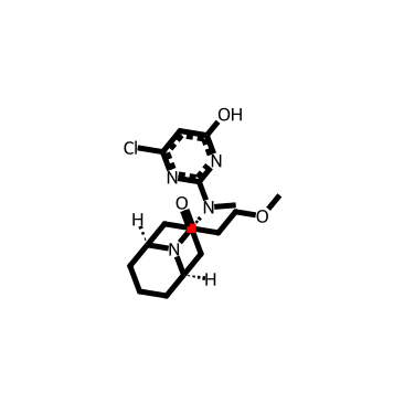 COCCC(=O)N1[C@@H]2CCC[C@H]1C[C@H](N(C)c1nc(O)cc(Cl)n1)C2